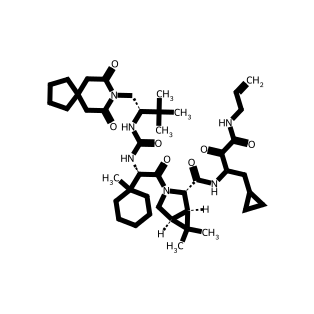 C=CCNC(=O)C(=O)C(CC1CC1)NC(=O)[C@@H]1[C@@H]2[C@H](CN1C(=O)[C@@H](NC(=O)N[C@H](CN1C(=O)CC3(CCCC3)CC1=O)C(C)(C)C)C1(C)CCCCC1)C2(C)C